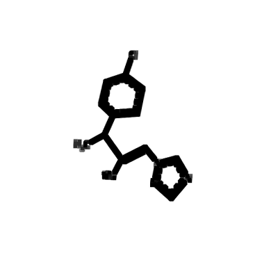 CC(C(=Cn1cncn1)C(C)(C)C)c1ccc(Cl)cc1